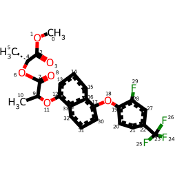 COC(=O)[C@@H](C)OC(=O)C(C)Oc1cccc2c(Oc3ccc(C(F)(F)F)cc3F)cccc12